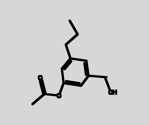 CCCc1cc([CH]O)cc(OC(C)=O)c1